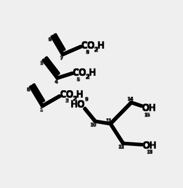 C=CC(=O)O.C=CC(=O)O.C=CC(=O)O.OCC(CO)CO